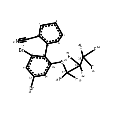 N#Cc1ccccc1-c1c(Br)[c]c(Br)cc1SC(F)(F)C(F)(F)C(F)(F)F